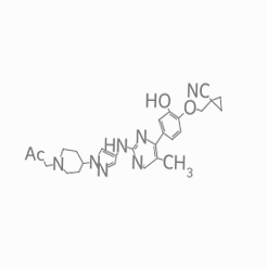 CC(=O)CN1CCC(n2cc(Nc3ncc(C)c(-c4ccc(OCC5(C#N)CC5)c(O)c4)n3)cn2)CC1